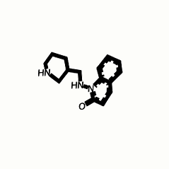 O=c1ccc2ccccc2n1NCC1CCCNC1